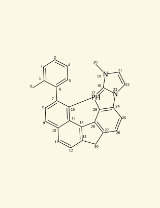 Cc1ccccc1-c1ccc2ccc3c4c2c1[PH]1=C2N(C)C=CN2c2ccc(c-4c21)C3